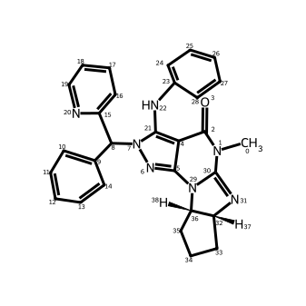 CN1C(=O)c2c(nn(C(c3ccccc3)c3ccccn3)c2Nc2ccccc2)N2C1=N[C@@H]1CCC[C@@H]12